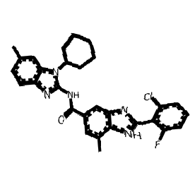 Cc1ccc2nc(NC(=O)c3cc(C)c4[nH]c(-c5c(F)cccc5Cl)nc4c3)n(C3CCCCC3)c2c1